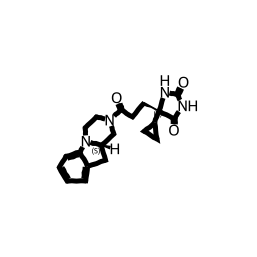 O=C1NC(=O)[C@](CCC(=O)N2CCN3c4ccccc4C[C@H]3C2)(C2CC2)N1